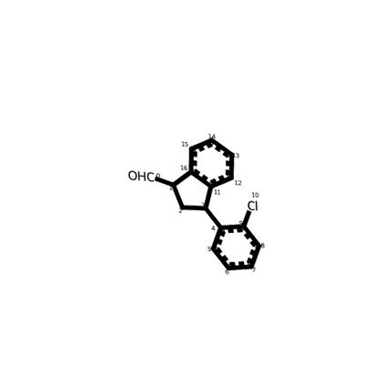 O=CC1CC(c2ccccc2Cl)c2ccccc21